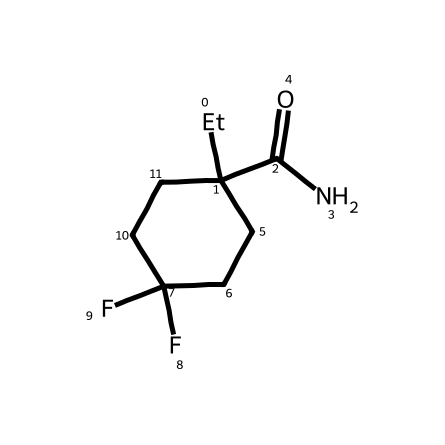 CCC1(C(N)=O)CCC(F)(F)CC1